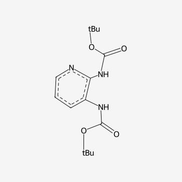 CC(C)(C)OC(=O)Nc1cccnc1NC(=O)OC(C)(C)C